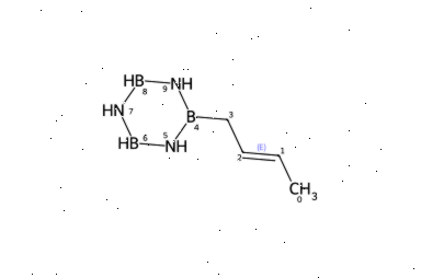 C/C=C/CB1NBNBN1